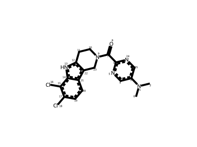 CN(C)c1cnc(C(=O)N2CCc3[nH]c4c(Cl)c(Cl)ccc4c3C2)nc1